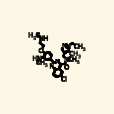 CCn1ncc(CN(C)C(=O)c2nc(-c3ccc(OCCNC)c(NC)c3)nc3ccc(Cl)cc23)c1C